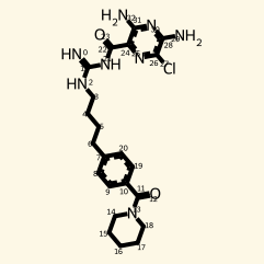 N=C(NCCCCc1ccc(C(=O)N2CCCCC2)cc1)NC(=O)c1nc(Cl)c(N)nc1N